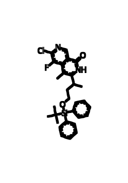 Cc1c(C(C)CCO[Si](c2ccccc2)(c2ccccc2)C(C)(C)C)[nH]c(=O)c2cnc(Cl)c(F)c12